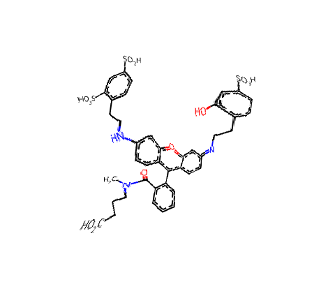 CN(CCCC(=O)O)C(=O)c1ccccc1-c1c2cc/c(=N/CCc3ccc(S(=O)(=O)O)cc3O)cc-2oc2cc(NCCc3ccc(S(=O)(=O)O)cc3S(=O)(=O)O)ccc12